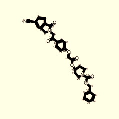 N#Cc1ccc2c(c1)CN(CC(=O)c1ccc(OCC(=O)OC3CCN(C(=O)OCc4ccccc4)CC3)cc1)C2=O